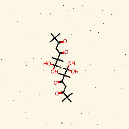 CC(C)(C)C(=O)CC(=O)C(C)(C)[C](O)(O)[Sr][C](O)(O)C(C)(C)C(=O)CC(=O)C(C)(C)C